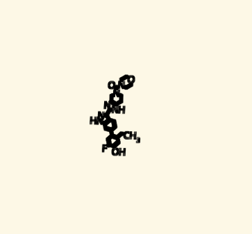 CCc1cc(O)c(F)cc1-c1ccc2c(-c3nc4c([nH]3)CCN(C(=O)N3CCOCC3)C4)n[nH]c2c1